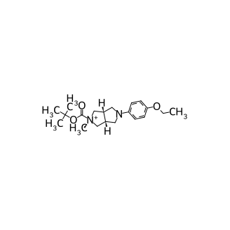 CCOc1ccc(N2C[C@@H]3C[N@+](C)(C(=O)OC(C)(C)C)C[C@@H]3C2)cc1